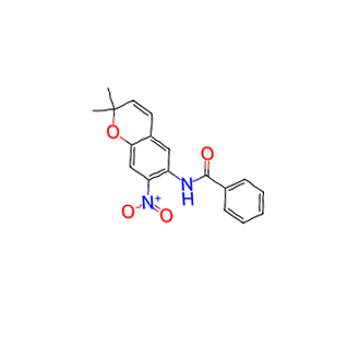 CC1(C)C=Cc2cc(NC(=O)c3ccccc3)c([N+](=O)[O-])cc2O1